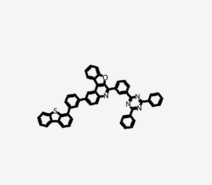 c1ccc(-c2nc(-c3ccccc3)nc(-c3cccc(-c4nc5ccc(-c6cccc(-c7cccc8c7sc7ccccc78)c6)cc5c5c4oc4ccccc45)c3)n2)cc1